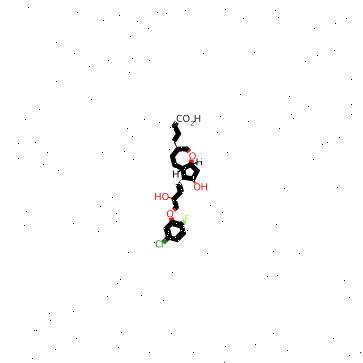 O=C(O)CCC[C@H]1CC[C@@H]2[C@@H](C=C[C@@H](O)COc3cc(Cl)ccc3F)[C@H](O)C[C@@H]2OC1